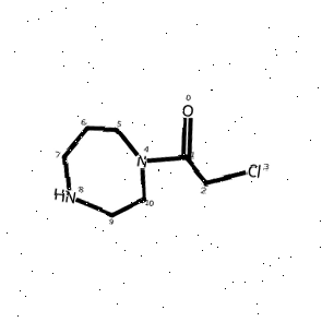 O=C(CCl)N1CCCNCC1